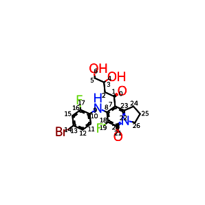 O=C(CC(O)CO)c1c(Nc2ccc(Br)cc2F)c(F)c(=O)n2c1CCC2